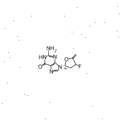 C=C1O[C@@H](n2cnc3c(=O)[nH]c(N)nc32)CC1F